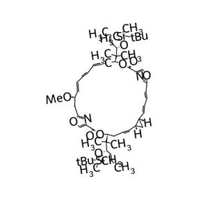 C/C=C/[C@H](O[Si](C)(C)C(C)(C)C)C(C)(C)[C@@H]1C\C=C/C=C\C=C\[C@H](OC)Cc2nc(co2)C(=O)O[C@H](C(C)(C)[C@H](/C=C/C)O[Si](C)(C)C(C)(C)C)C/C=C\[C@H]2C[C@H]2/C=C/C=C\c2nc(co2)C(=O)O1